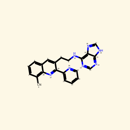 N#Cc1cccc2cc(CCNc3ncnc4[nH]cnc34)c(-c3ccccn3)nc12